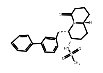 CS(=O)(=O)N[C@H]1CC[C@H]2CCCC(=O)N2[C@H]1Cc1cccc(-c2ccccc2)c1